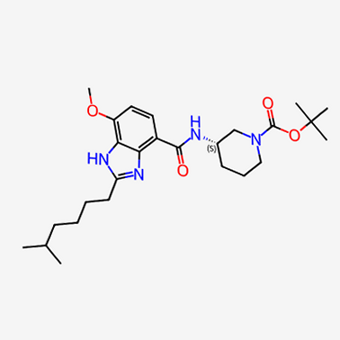 COc1ccc(C(=O)N[C@H]2CCCN(C(=O)OC(C)(C)C)C2)c2nc(CCCCC(C)C)[nH]c12